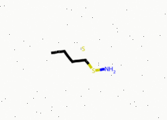 CCCCSN.[S]